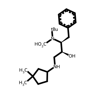 CC1(C)CCC(NC[C@H](O)[C@H](Cc2ccccc2)N(C(=O)O)C(C)(C)C)C1